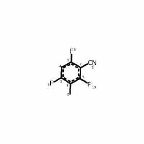 Cc1c(F)cc(F)c(C#N)c1F